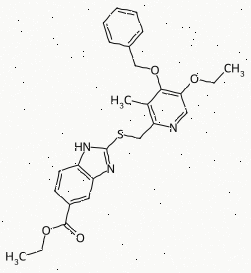 CCOC(=O)c1ccc2[nH]c(SCc3ncc(OCC)c(OCc4ccccc4)c3C)nc2c1